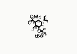 C=C(C)[C@@H]1CC(O[Si](C)(C)C(C)(C)C)=C(C)C(C(=O)OC)C1